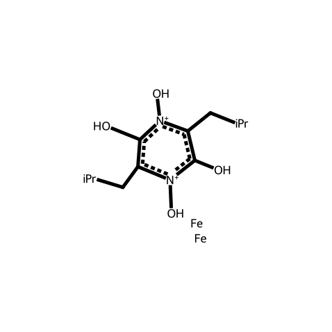 CC(C)Cc1c(O)[n+](O)c(CC(C)C)c(O)[n+]1O.[Fe].[Fe]